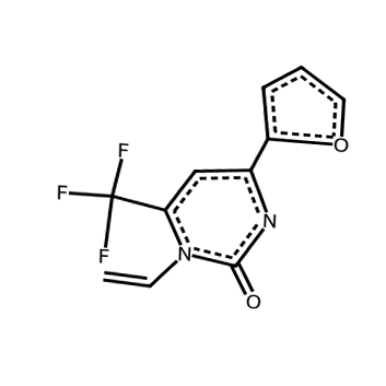 C=Cn1c(C(F)(F)F)cc(-c2ccco2)nc1=O